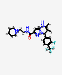 CC1=C(C)C(c2ccc(C(F)(F)F)c(F)c2)n2nc(C(=O)NCCN3CCCCC3)cc2N1